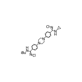 CCC(C)N/C(=N/Cl)c1ccc(N2CCN(c3ccc(/C(=N\Cl)NC4CC4)cc3)CC2)cc1